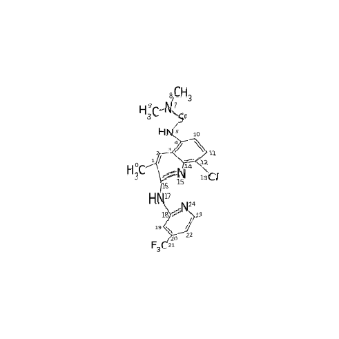 Cc1cc2c(NSN(C)C)ccc(Cl)c2nc1Nc1cc(C(F)(F)F)ccn1